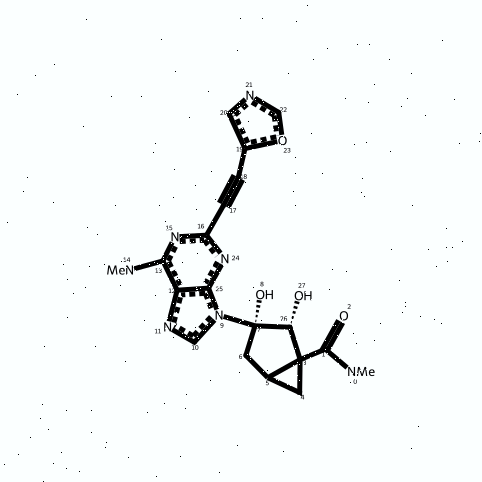 CNC(=O)C12CC1C[C@@](O)(n1cnc3c(NC)nc(C#Cc4cnco4)nc31)[C@@H]2O